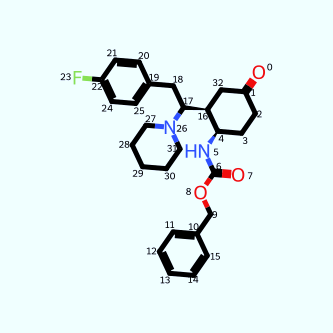 O=C1CC[C@@H](NC(=O)OCc2ccccc2)[C@@H](C(Cc2ccc(F)cc2)N2CCCCC2)C1